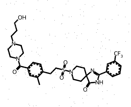 Cc1cc(C(=O)N2CCN(CCCO)CC2)ccc1CCS(=O)(=O)N1CCC2(CC1)N=C(c1cccc(C(F)(F)F)c1)NC2=O